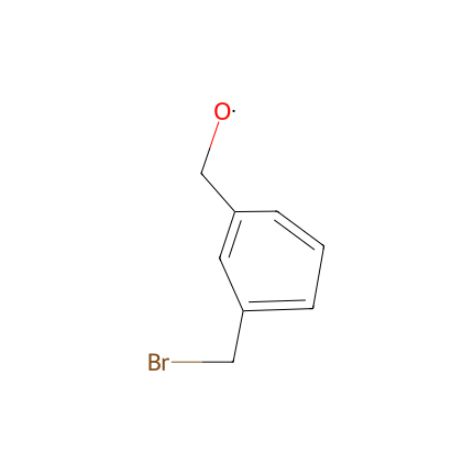 [O]Cc1cccc(CBr)c1